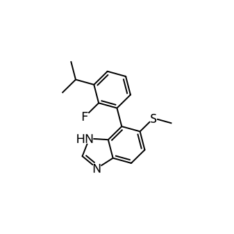 CSc1ccc2nc[nH]c2c1-c1cccc(C(C)C)c1F